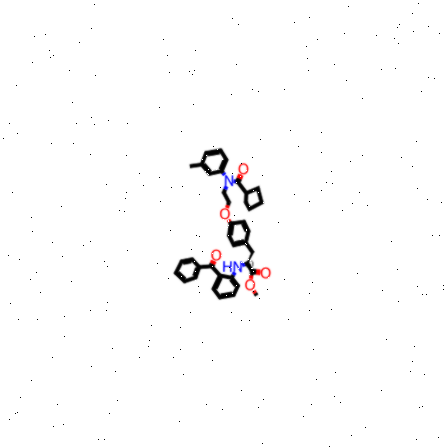 COC(=O)[C@H](Cc1ccc(OCCN(C(=O)C2CCCC2)c2cccc(C)c2)cc1)Nc1ccccc1C(=O)c1ccccc1